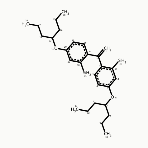 C=C(c1ccc(OC(CCC)CCC)cc1[SiH3])c1ccc(OC(CCC)CCC)cc1[SiH3]